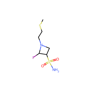 CSCCN1CC(S(N)(=O)=O)C1I